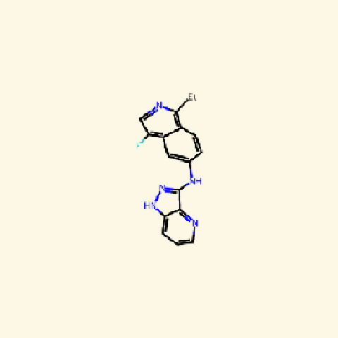 CCc1ncc(F)c2cc(Nc3n[nH]c4cccnc34)ccc12